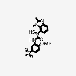 COc1ccc(S(C)(=O)=O)cc1NC(=O)N(S)c1cccc2nc(C)n(C)c12